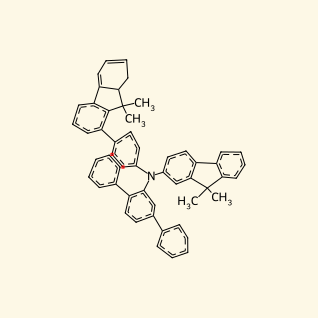 CC1(C)c2ccccc2-c2ccc(N(c3ccc(-c4cccc5c4C(C)(C)C4CC=CC=C54)cc3)c3cc(-c4ccccc4)ccc3-c3ccccc3)cc21